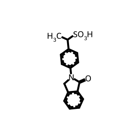 CC(c1ccc(N2Cc3ccccc3C2=O)cc1)S(=O)(=O)O